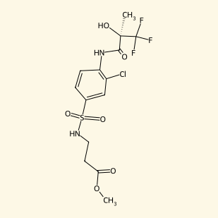 COC(=O)CCNS(=O)(=O)c1ccc(NC(=O)[C@@](C)(O)C(F)(F)F)c(Cl)c1